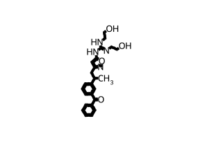 CC(Cc1cc(NC(=NCCO)NCCO)on1)c1cccc(C(=O)c2ccccc2)c1